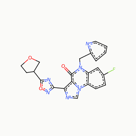 O=c1c2c(-c3noc(C4CCOC4)n3)ncn2c2ccc(F)cc2n1Cc1ccccn1